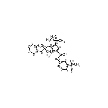 Cc1c(C(=O)Nc2cccc(C(C)(F)F)c2)cc(C(C)(C)C)n1CC(C)(C)CN1CCOCC1